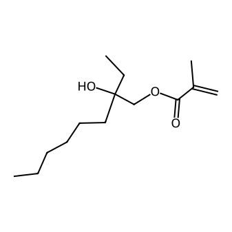 C=C(C)C(=O)OCC(O)(CC)CCCCCC